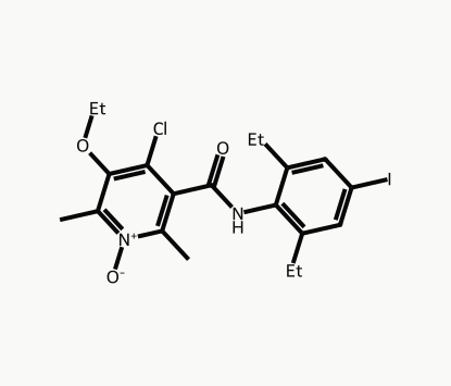 CCOc1c(Cl)c(C(=O)Nc2c(CC)cc(I)cc2CC)c(C)[n+]([O-])c1C